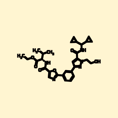 CCOC(=O)[C@@H](NC(=O)c1cnc(-c2cccc(-c3cc(C(=O)NC(C4CC4)C4CC4)n(CCO)n3)c2)o1)C(C)C